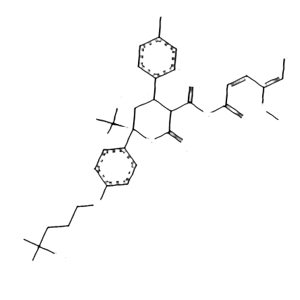 C=C(/C=C\C(=C/C)OC)NC(=O)C1C(=O)N[C@@](c2ccc(OCCCC(F)(F)F)cc2)(C(F)(F)F)CC1c1ccc(C)cc1